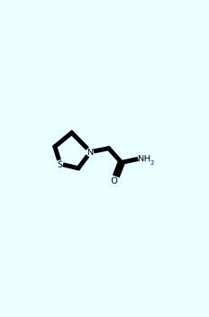 NC(=O)CN1CCSC1